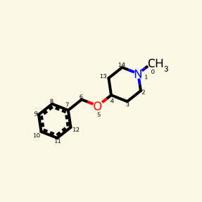 CN1CCC(OCc2ccccc2)CC1